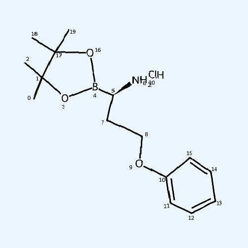 CC1(C)OB([C@@H](N)CCOc2ccccc2)OC1(C)C.Cl